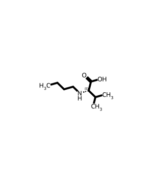 CCCCN[C@H](C(=O)O)C(C)C